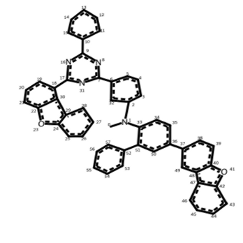 CN(c1cccc(-c2nc(-c3ccccc3)nc(-c3cccc4oc5ccccc5c34)n2)c1)c1ccc(-c2ccc3oc4ccccc4c3c2)cc1-c1ccccc1